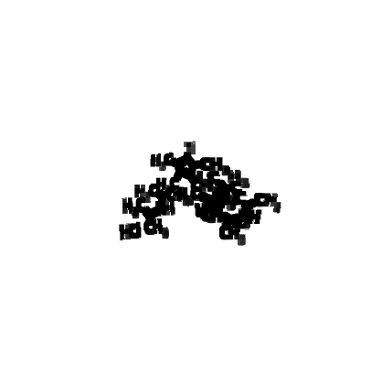 CC(C)NC(C)C.CC(C)NC(C)C.CC(C)NC(C)C.CC1=C(C)C(C)[C]([Ti])=C1C.Cl.Cl